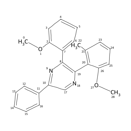 COc1ccccc1-c1nc(-c2ccccc2)cnc1-c1c(C)cccc1OC